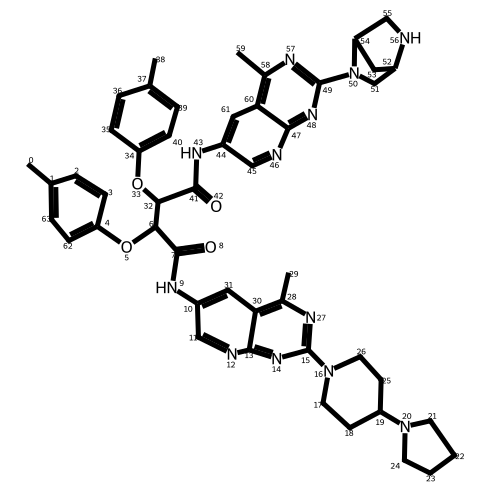 Cc1ccc(OC(C(=O)Nc2cnc3nc(N4CCC(N5CCCC5)CC4)nc(C)c3c2)C(Oc2ccc(C)cc2)C(=O)Nc2cnc3nc(N4CC5CC4CN5)nc(C)c3c2)cc1